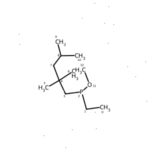 CCP(CC(C)(C)CC(C)C)OC